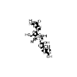 [N-]=[N+]=NC1C(OP(=O)(O)OC[C@H]2OCC(O)(n3cnc4c(O)ncnc43)[C@@H]2O)[C@H](n2cnc3c(=O)[nH]c(N)nc32)O[C@@H]1CO